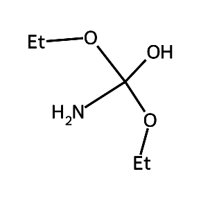 CCOC(N)(O)OCC